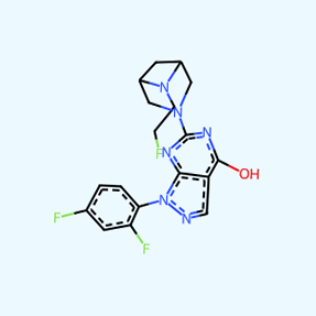 Oc1nc(N2CC3CC(C2)N3CCF)nc2c1cnn2-c1ccc(F)cc1F